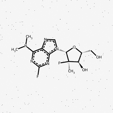 CN(C)c1nc(F)nc2c1ncn2[C@@H]1O[C@H](CO)[C@@H](O)[C@@]1(C)F